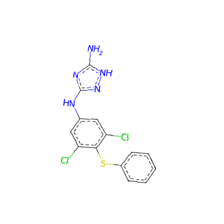 Nc1nc(Nc2cc(Cl)c(Sc3ccccc3)c(Cl)c2)n[nH]1